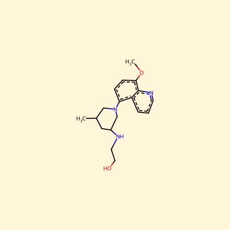 COc1ccc(N2CC(C)CC(NCCO)C2)c2cccnc12